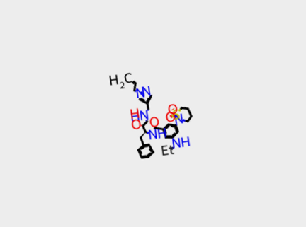 C=CCn1cc(CNC[C@@H](O)[C@H](Cc2ccccc2)NC(=O)c2cc(NCC)cc(N3CCCCS3(=O)=O)c2)cn1